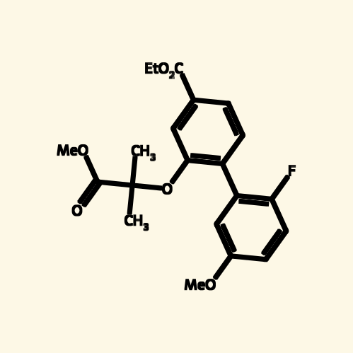 CCOC(=O)c1ccc(-c2cc(OC)ccc2F)c(OC(C)(C)C(=O)OC)c1